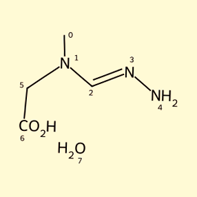 CN(C=NN)CC(=O)O.O